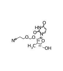 CC1[C@@H](CO)O[C@@H](n2ccc(=O)[nH]c2=O)[C@H]1OCOCCC#N